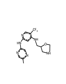 Cc1cnc(Nc2cc(NCC3CNCCO3)c(C(F)(F)F)cn2)cn1